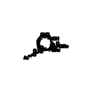 COC(=O)/C=C1\CC2C[C@H](CO)OC(=O)C[C@H](O)CCOCC[C@@H]3C[C@H](CC(=O)OC/C=C/C(C)=O)O[C@H](/C=C/C(C)(C)[C@](O)(O2)[C@H]1OC(C)=O)O3